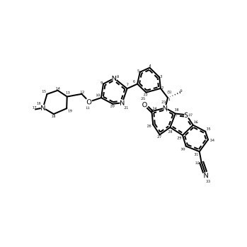 C[C@@H](c1cccc(-c2ncc(OCC3CCN(C)CC3)cn2)c1)n1c(=O)ccc2c3cc(C#N)ccc3sc21